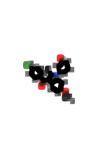 Cc1c(C(=O)c2ccc(Cl)cc2)c2ccc(OC(F)(F)F)cc2n1-c1cccc([O])c1